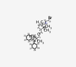 CC(C)(COCC1CCC(C)(/C=C/CBr)C1(C)C)[SiH](c1ccccc1)c1ccccc1